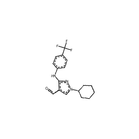 O=Cc1cn(C2CCCCC2)nc1Nc1ccc(C(F)(F)F)cc1